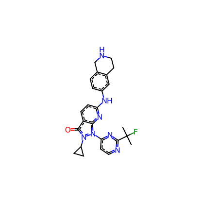 CC(C)(F)c1nccc(-n2c3nc(Nc4ccc5c(c4)CCNC5)ccc3c(=O)n2C2CC2)n1